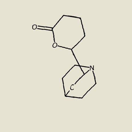 O=C1CCCC(C2CC3CCN2CC3)O1